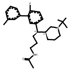 CC(=O)NCCC[C@@H](c1ccc(F)c(-c2cccc(C)c2)c1)[C@@H]1CCCN(C(C)(C)C)C1